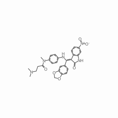 CN(C)CCC(=O)N(C)c1ccc(NC(=C2C(=O)Nc3cc([N+](=O)[O-])ccc32)c2ccc3c(c2)OCO3)cc1